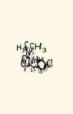 CCN(CC)C(=O)N[C@H]([C]=O)Cc1ccc(Cl)cc1